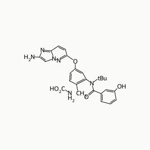 Cc1ccc(Oc2ccc3nc(N)cn3n2)cc1N(C(=O)c1cccc(O)c1)C(C)(C)C.NC(=O)O